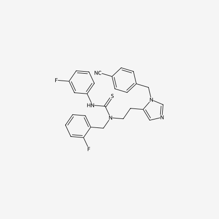 N#Cc1ccc(Cn2cncc2CCN(Cc2ccccc2F)C(=S)Nc2cccc(F)c2)cc1